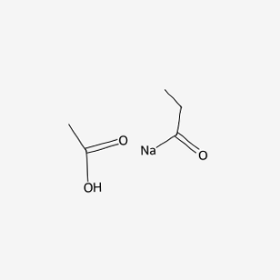 CC(=O)O.CC[C](=O)[Na]